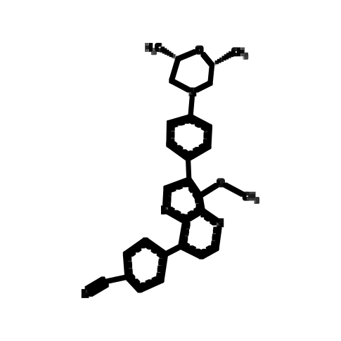 COc1c(-c2ccc(N3C[C@@H](C)O[C@@H](C)C3)cc2)cnc2c(-c3ccc(C#N)cc3)ccnc12